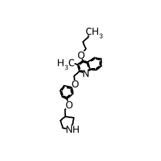 CCCCOc1c(C)c(COc2cccc(OCC3CCNCC3)c2)nc2ccccc12